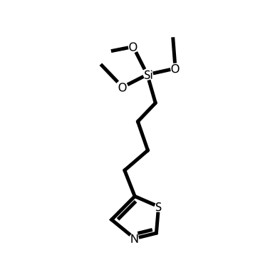 CO[Si](CCCCc1cncs1)(OC)OC